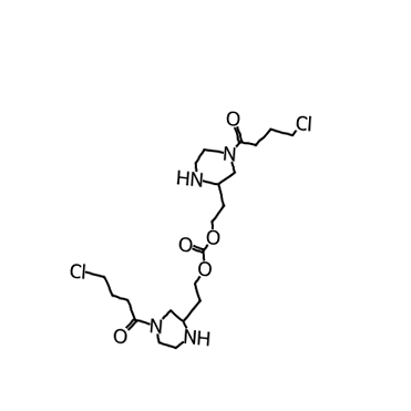 O=C(OCCC1CN(C(=O)CCCCl)CCN1)OCCC1CN(C(=O)CCCCl)CCN1